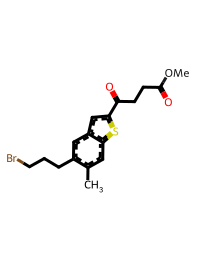 COC(=O)CCC(=O)c1cc2cc(CCCBr)c(C)cc2s1